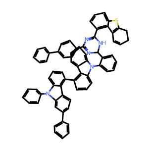 C1=Cc2c(sc3cccc(C4=NC(c5ccc(-c6ccccc6)cc5)=NC(c5ccccc5-n5c6ccccc6c6c(-c7cccc8c7c7ccc(-c9ccccc9)cc7n8-c7ccccc7)cccc65)N4)c23)CC1